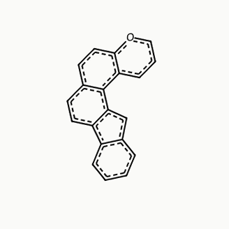 c1ccc2c(c1)cc1c2ccc2ccc3occcc3c21